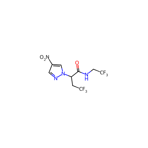 O=C(NCC(F)(F)F)C(CC(F)(F)F)n1cc([N+](=O)[O-])cn1